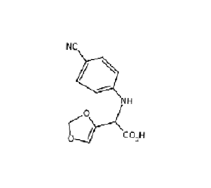 N#Cc1ccc(NC(C(=O)O)C2=COCO2)cc1